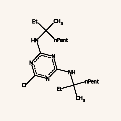 CCCCCC(C)(CC)Nc1nc(Cl)nc(NC(C)(CC)CCCCC)n1